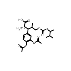 CC(=O)Oc1ccc(C(C(C)COC(=O)OC(C)C(C)C)[C@H](N)C(=O)O)cc1OC(C)=O